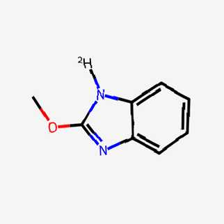 [2H]n1c(OC)nc2ccccc21